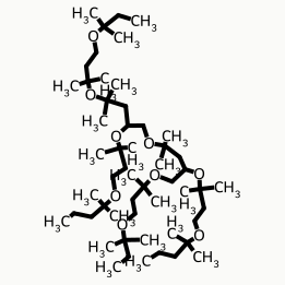 CCCC(C)(C)OCCC(C)(C)OC(COC(C)(C)CCOC(C)(C)CC)CC(C)(C)OCC(CC(C)(C)OC(C)(C)CCOC(C)(C)CC)OC(C)(C)CCOC(C)(C)CCC